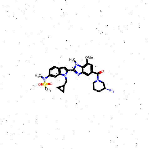 COc1cc(C(=O)N2CCC[C@@H](N)C2)cc2nc(-c3cc4ccc(N(C)S(C)(=O)=O)cc4n3CC3CC3)n(C)c12